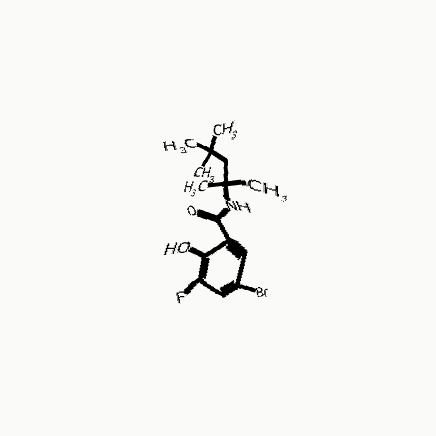 CC(C)(C)CC(C)(C)NC(=O)c1cc(Br)cc(F)c1O